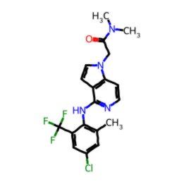 Cc1cc(Cl)cc(C(F)(F)F)c1Nc1nccc2c1ccn2CC(=O)N(C)C